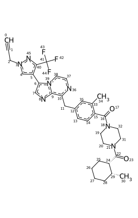 C#CCn1cc(-c2cnc3c(Cc4ccc(C(=O)N5CCN(C(=O)[C@H]6CCCC[C@H]6C)CC5)c(C)c4)nccn23)c(C(F)(F)F)n1